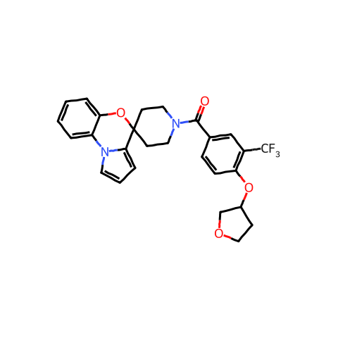 O=C(c1ccc(OC2CCOC2)c(C(F)(F)F)c1)N1CCC2(CC1)Oc1ccccc1-n1cccc12